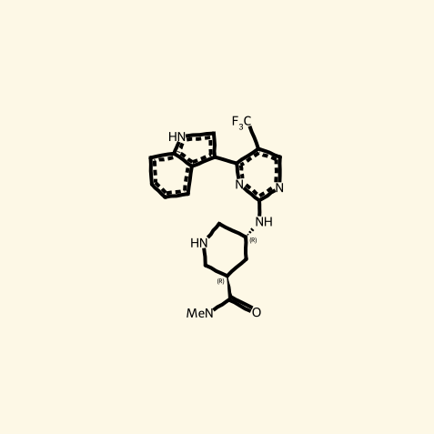 CNC(=O)[C@H]1CNC[C@H](Nc2ncc(C(F)(F)F)c(-c3c[nH]c4ccccc34)n2)C1